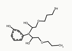 CCCOCC(O)N(c1cccc(O)c1)C(O)COCCCS